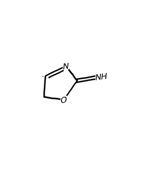 N=C1N=[C]CO1